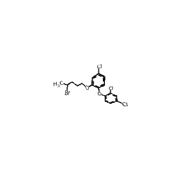 CC(Br)CCCOc1cc(Cl)ccc1Oc1ccc(Cl)cc1Cl